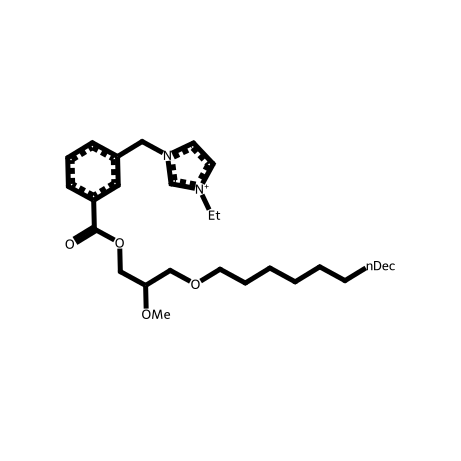 CCCCCCCCCCCCCCCCOCC(COC(=O)c1cccc(Cn2cc[n+](CC)c2)c1)OC